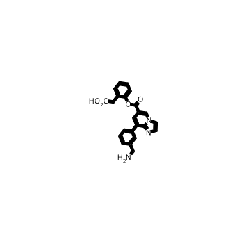 NCc1cccc(-c2cc(C(=O)Oc3ccccc3CC(=O)O)cn3ccnc23)c1